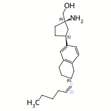 CCCC/C=C\[C@@H]1CCc2cc([C@H]3CC[C@](N)(CO)C3)ccc2C1